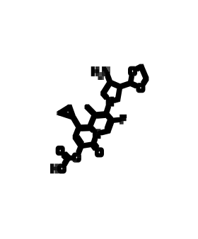 Cc1c(N2CC(N)C(C3OCCO3)C2)c(F)cn2c(=O)c(OC(=O)O)cc(C3CC3)c12